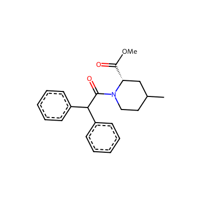 COC(=O)[C@@H]1CC(C)CCN1C(=O)C(c1ccccc1)c1ccccc1